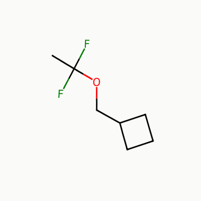 CC(F)(F)OCC1CCC1